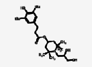 CC(C)(C)c1cc(CCC(=O)OC2CC(C)(C)N(CC(O)CO)C(C)(C)C2)cc(C(C)(C)C)c1O